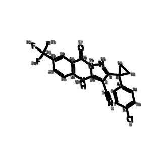 N#Cc1c(C2(c3ccc(Cl)cc3)CC2)nn2c(=O)c3cc(C(F)(F)F)ccc3[nH]c12